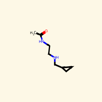 CC(=O)NCCNCC1CC1